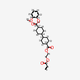 C=CC(=O)OCCOC(=O)C1CCC(C2CCC(C(=O)Oc3ccccc3OC)CC2)CC1